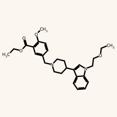 CCOCCn1cc(C2CCN(Cc3ccc(OC)c(C(=O)OCC)c3)CC2)c2ccccc21